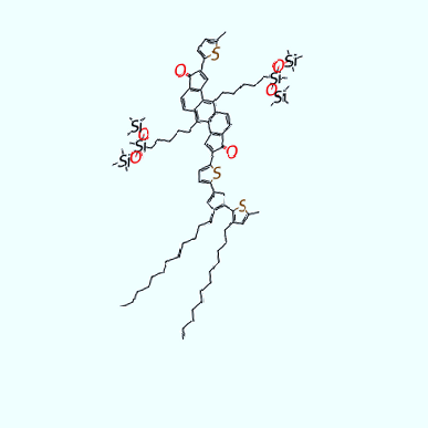 CCCCCCCCCCCCC1=C(c2sc(C)cc2CCCCCCCCCCCC)CC(c2ccc(-c3cc4c(ccc5c(CCCCC[Si](C)(O[Si](C)(C)C)O[Si](C)(C)C)c6c(ccc7c(=O)c(-c8ccc(C)s8)cc76)c(CCCCC[Si](C)(O[Si](C)(C)C)O[Si](C)(C)C)c54)c3=O)s2)=C1